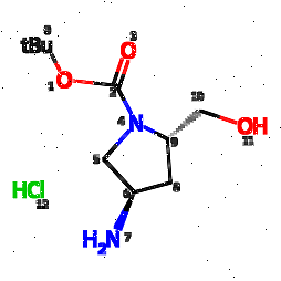 CC(C)(C)OC(=O)N1C[C@H](N)C[C@H]1CO.Cl